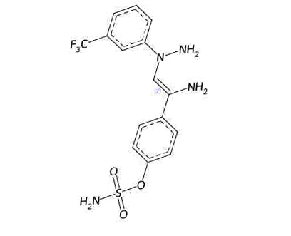 N/C(=C\N(N)c1cccc(C(F)(F)F)c1)c1ccc(OS(N)(=O)=O)cc1